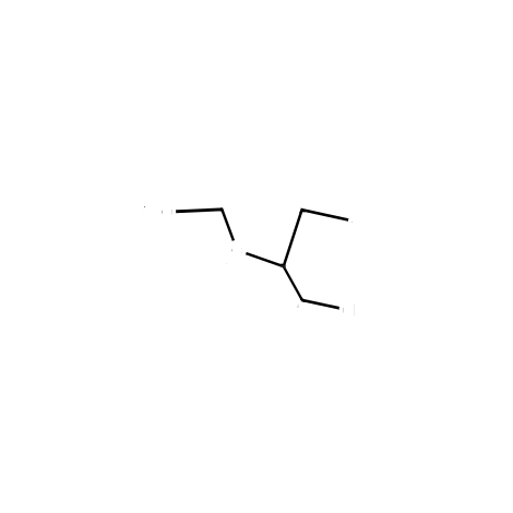 CC(=O)OCOC(CCl)CCl